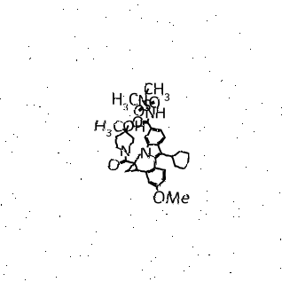 COc1ccc2c(c1)C1CC1(C(=O)N1CCC(C)(O)CC1)Cn1c-2c(C2CCCCC2)c2ccc(C(=O)NS(=O)(=O)N(C)C)cc21